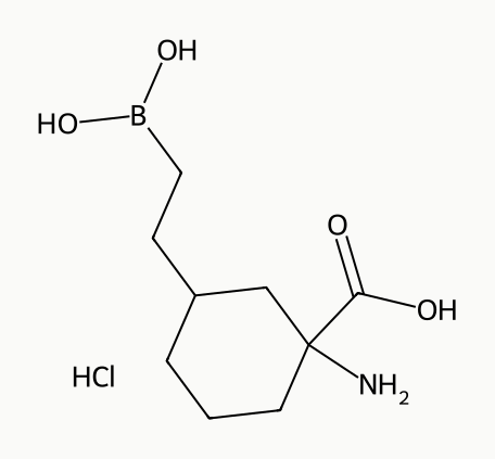 Cl.NC1(C(=O)O)CCCC(CCB(O)O)C1